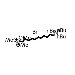 CCCC[N+](CCCC)(CCCC)CCCCCCCCCCC[Si](OC)(OC)OC.[Br-]